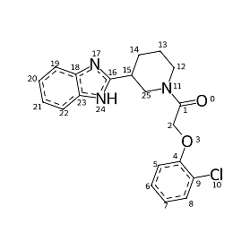 O=C(COc1ccccc1Cl)N1CCCC(c2nc3ccccc3[nH]2)C1